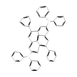 c1ccc(-c2cc3cc(N(c4ccccc4)c4ccccc4)cc4c(-c5ccccc5)cc5cc(N(c6ccccc6)c6ccccc6)cc2c5c34)cc1